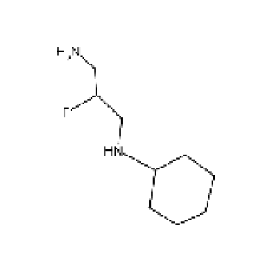 NCC(F)CNC1CCCCC1